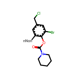 CCCCCCCCCc1cc(CCl)cc(Br)c1OC(=O)N1CCCCC1